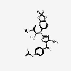 CC(C(N)=O)N(c1ccc2c(c1)OC(F)(F)O2)c1nc(N)c(C(=O)c2ccc(OC(F)F)cc2)s1